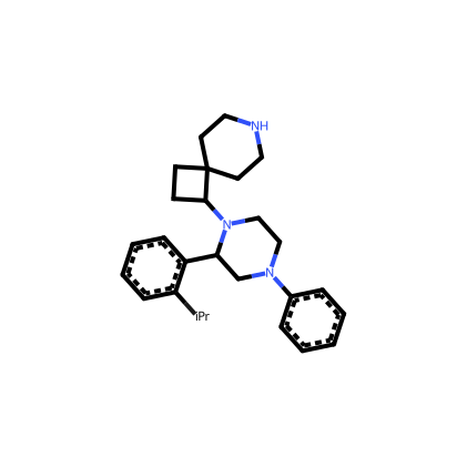 CC(C)c1ccccc1C1CN(c2ccccc2)CCN1C1CCC12CCNCC2